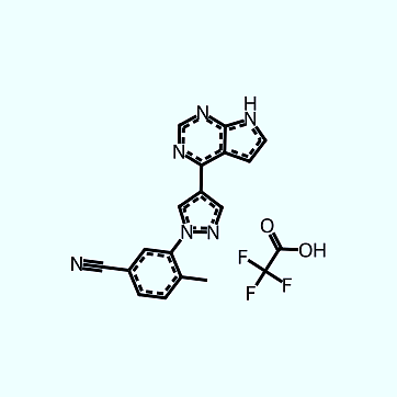 Cc1ccc(C#N)cc1-n1cc(-c2ncnc3[nH]ccc23)cn1.O=C(O)C(F)(F)F